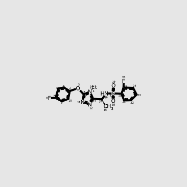 CCn1c(Oc2ccc(F)cc2)nnc1[C@@H](C)NS(=O)(=O)c1ccccc1F